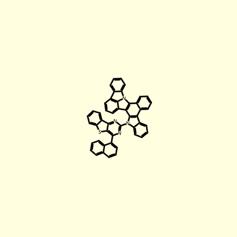 c1ccc2c(-c3nc(-n4c5ccccc5c5c6ccccc6c6c(c7cccc8c9ccccc9n6c87)c54)nc4c3sc3ccccc34)cccc2c1